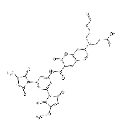 COC1=CC(=O)N(c2cc(NC(=O)c3cc4ccc(N(CCOC=O)CCC(=O)O)cc4oc3=O)cc(N3C(=O)C=C(C)C3=O)c2)C1=O